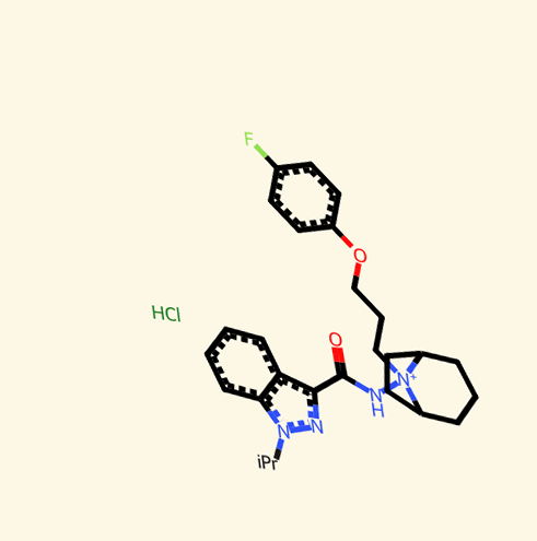 CC(C)n1nc(C(=O)N[N+]2(CCCOc3ccc(F)cc3)C3CCCC2CC3)c2ccccc21.Cl